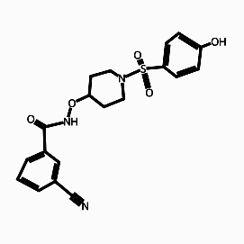 N#Cc1cccc(C(=O)NOC2CCN(S(=O)(=O)c3ccc(O)cc3)CC2)c1